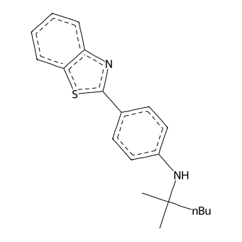 CCCCC(C)(C)Nc1ccc(-c2nc3ccccc3s2)cc1